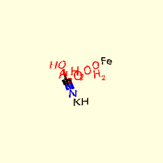 N#CO.O.O.O.[Fe].[KH]